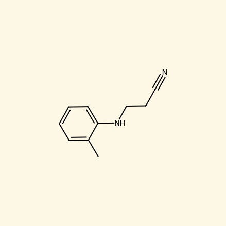 Cc1ccccc1NCCC#N